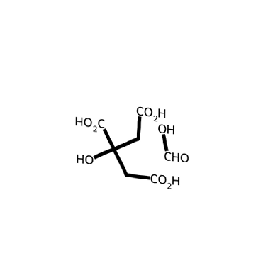 O=C(O)CC(O)(CC(=O)O)C(=O)O.O=CO